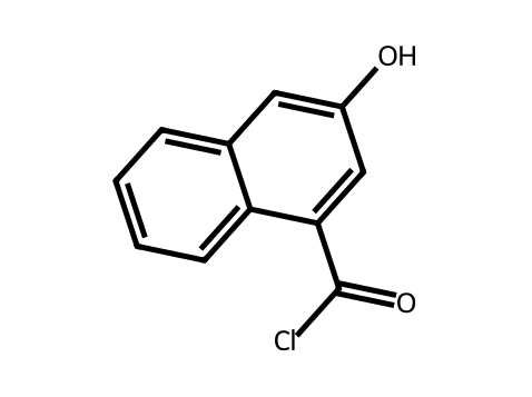 O=C(Cl)c1cc(O)cc2ccccc12